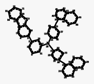 c1cc(-c2ccc3c(c2)sc2ccccc23)cc(N(c2ccc(-c3cccc4ccccc34)cc2)c2ccc(-c3cccc4ccccc34)cc2)c1